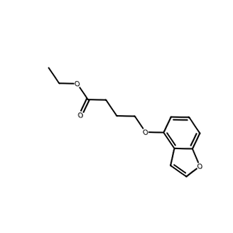 CCOC(=O)CCCOc1cccc2occc12